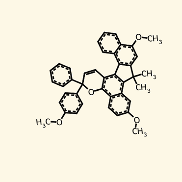 COc1ccc(C2(c3ccccc3)C=Cc3c4c(c5cc(OC)ccc5c3O2)C(C)(C)c2cc(OC)c3ccccc3c2-4)cc1